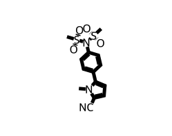 Cn1c(C#N)ccc1-c1ccc(N(S(C)(=O)=O)S(C)(=O)=O)cc1